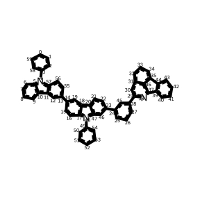 c1ccc(-n2c3ccccc3c3cc(-c4ccc5c(c4)c4ccc(-c6cccc(-c7cc8cccc9c8c(n7)-c7ccccc7-9)c6)cc4n5-c4ccccc4)ccc32)cc1